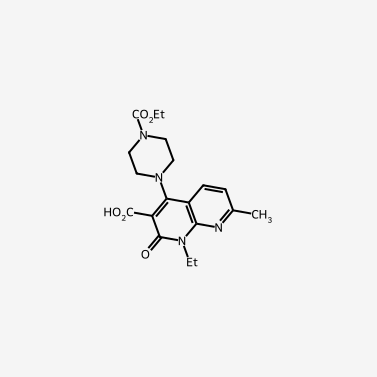 CCOC(=O)N1CCN(c2c(C(=O)O)c(=O)n(CC)c3nc(C)ccc23)CC1